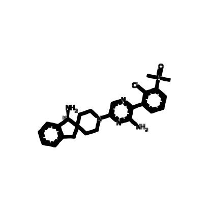 CP(C)(=O)c1cccc(-c2ncc(N3CCC4(CC3)Cc3ccccc3[C@H]4N)nc2N)c1Cl